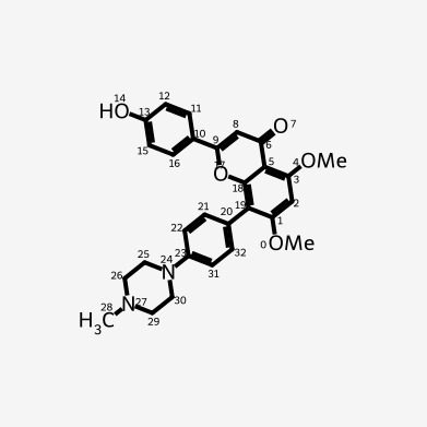 COc1cc(OC)c2c(=O)cc(-c3ccc(O)cc3)oc2c1-c1ccc(N2CCN(C)CC2)cc1